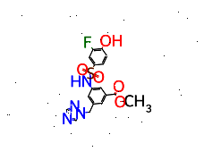 COC(=O)c1cc(Cn2cncn2)cc(NS(=O)(=O)c2ccc(O)c(F)c2)c1